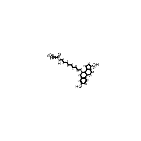 CCCCNC(=O)NCCCCCCCCC[C@@H]1Cc2cc(O)ccc2C2CC[C@@]3(C)C(CC[C@@H]3O)C21